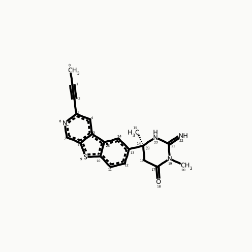 CC#Cc1cc2c(cn1)sc1ccc([C@]3(C)CC(=O)N(C)C(=N)N3)cc12